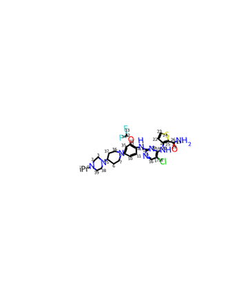 CC(C)N1CCN(C2CCN(c3ccc(Nc4ncc(Cl)c(Nc5ccsc5C(N)=O)n4)c(OC(F)F)c3)CC2)CC1